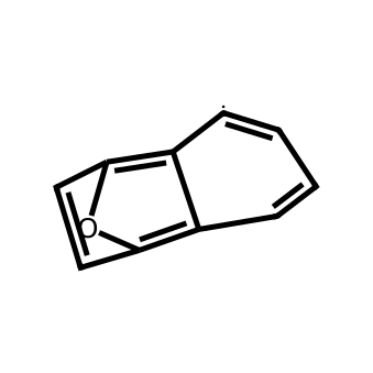 [c]1cccc2c3ccc(o3)c12